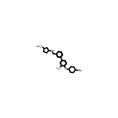 CC(C)(C)C1CCC(Oc2ccc(-c3cccc(CNC4CCC(C(=O)O)C4)c3)cc2C(F)(F)F)CC1